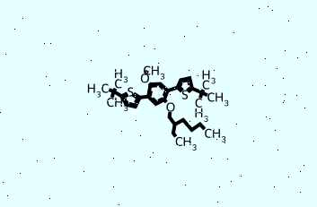 CCCCC(CC)COc1cc(-c2ccc(C(C)(C)C)s2)c(OC)cc1-c1ccc(C(C)(C)C)s1